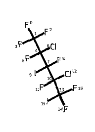 FC(F)(F)C(F)(Cl)C(F)(I)C(F)(Cl)C(F)(F)I